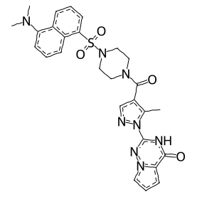 Cc1c(C(=O)N2CCN(S(=O)(=O)c3cccc4c(N(C)C)cccc34)CC2)cnn1-c1nn2cccc2c(=O)[nH]1